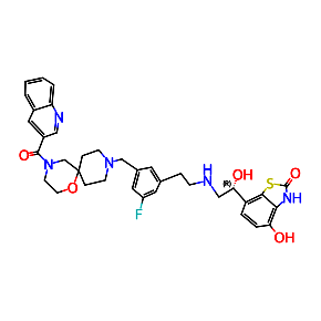 O=C(c1cnc2ccccc2c1)N1CCOC2(CCN(Cc3cc(F)cc(CCNC[C@H](O)c4ccc(O)c5[nH]c(=O)sc45)c3)CC2)C1